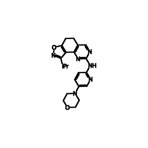 CC(C)c1noc2c1-c1nc(Nc3ccc(N4CCOCC4)cn3)ncc1CC2